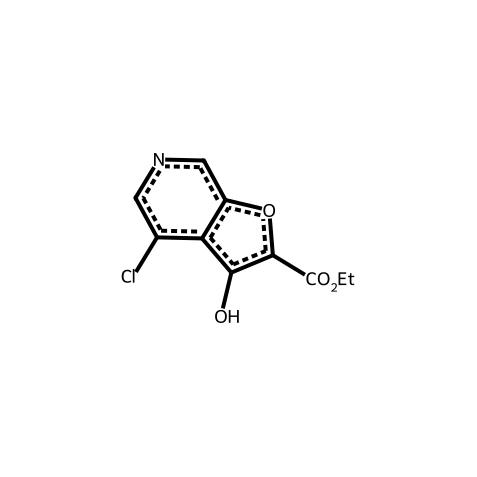 CCOC(=O)c1oc2cncc(Cl)c2c1O